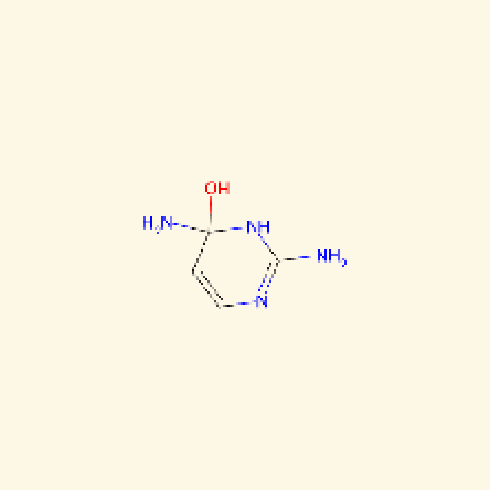 NC1=NC=CC(N)(O)N1